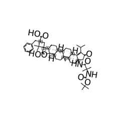 CC(C)C1=C2[C@H]3CC[C@@H]4[C@]5(C)CC[C@H]([C@@]6(C(=O)O)C[C@@](Cc7ccccc7)(C(=O)O)C6(C)C)C(C)(C)[C@H]5CC[C@@]4(C)[C@]3(C)CC[C@@]2(NC(=O)C(C)(C)NC(=O)OC(C)(C)C)CC1=O